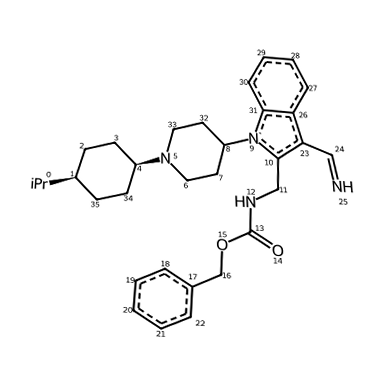 CC(C)[C@H]1CC[C@@H](N2CCC(n3c(CNC(=O)OCc4ccccc4)c(C=N)c4ccccc43)CC2)CC1